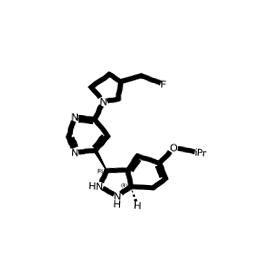 CC(C)OC1=CC[C@H]2NN[C@@H](c3cc(N4CCC(CF)C4)ncn3)C2=C1